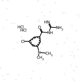 CN(C)c1cc(Cl)cc(C(=O)NC(=N)N)c1.Cl.Cl